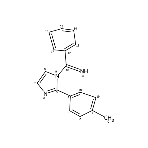 Cc1ccc(-c2nccn2C(=N)c2ccccc2)cc1